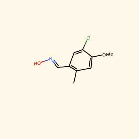 COc1cc(C)c(C=NO)cc1Cl